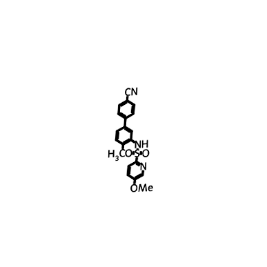 COc1ccc(S(=O)(=O)Nc2cc(-c3ccc(C#N)cc3)ccc2C)nc1